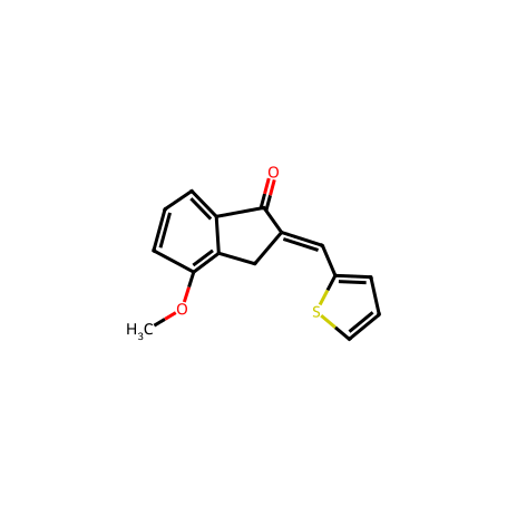 COc1cccc2c1CC(=Cc1cccs1)C2=O